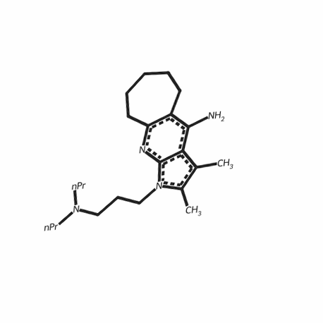 CCCN(CCC)CCCn1c(C)c(C)c2c(N)c3c(nc21)CCCCC3